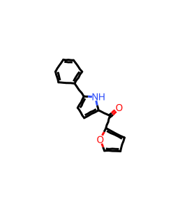 O=C(c1ccc(-c2ccccc2)[nH]1)c1ccco1